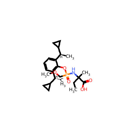 CCC(C)(NP(=O)(COC)Oc1c([C@H](C)C2CC2)cccc1[C@H](C)C1CC1)C(=O)O